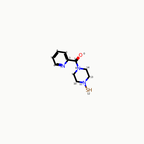 O=C(c1ccccn1)N1CCN(S)CC1